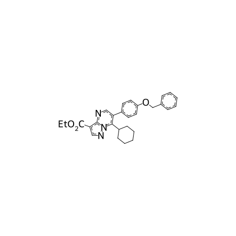 CCOC(=O)c1cnn2c(C3CCCCC3)c(-c3ccc(OCc4ccccc4)cc3)cnc12